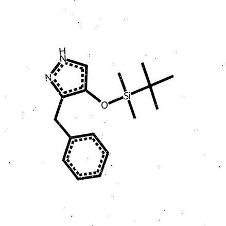 CC(C)(C)[Si](C)(C)Oc1c[nH]nc1Cc1ccccc1